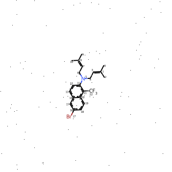 CC(C)=CCN(CC=C(C)C)c1ccc2cc(Br)ccc2c1C(F)(F)F